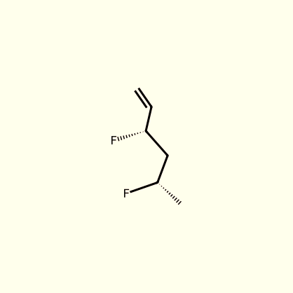 C=C[C@@H](F)C[C@H](C)F